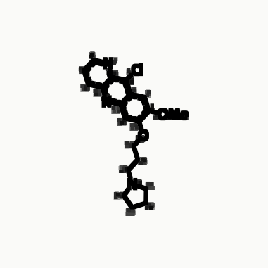 COc1cc2c(Cl)c3ncccc3nc2cc1OCCCN1CCCC1